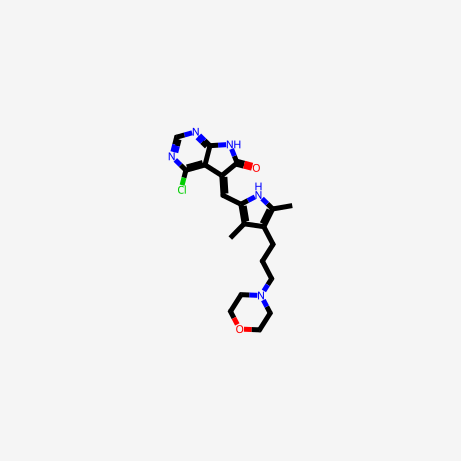 Cc1[nH]c(C=C2C(=O)Nc3ncnc(Cl)c32)c(C)c1CCCN1CCOCC1